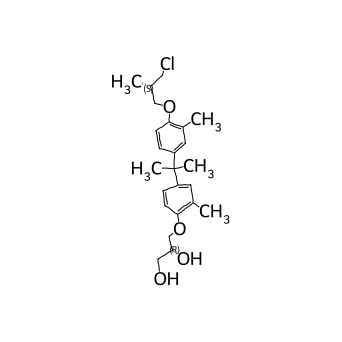 Cc1cc(C(C)(C)c2ccc(OC[C@H](O)CO)c(C)c2)ccc1OC[C@H](C)CCl